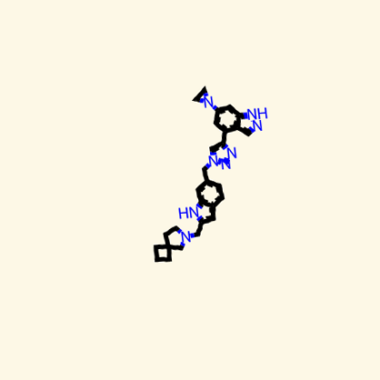 c1cc2cc(CN3CCC4(CCC4)C3)[nH]c2cc1Cn1cc(-c2cc(N3CC3)cc3[nH]ncc23)nn1